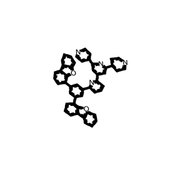 c1cc(-c2cc(-c3cccc4c3oc3ccccc34)cc(-c3cccc4c3oc3ccccc34)c2)nc(-c2cc(-c3ccncc3)nc(-c3ccncc3)c2)c1